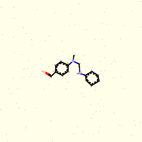 CN(CNc1ccccc1)c1ccc(C=O)cc1